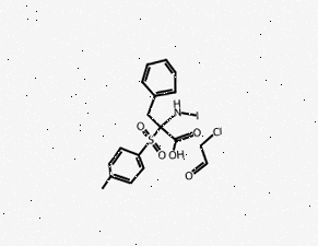 Cc1ccc(S(=O)(=O)C(Cc2ccccc2)(NI)C(=O)O)cc1.O=CCCl